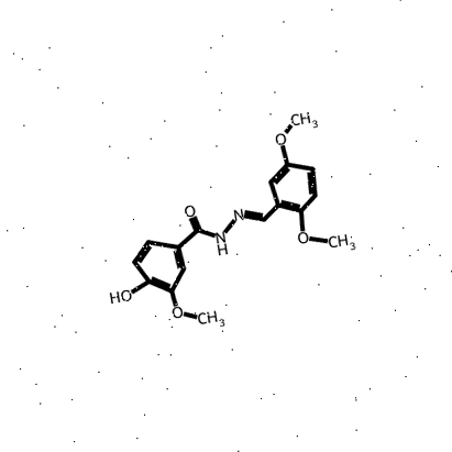 COc1ccc(OC)c(C=NNC(=O)c2ccc(O)c(OC)c2)c1